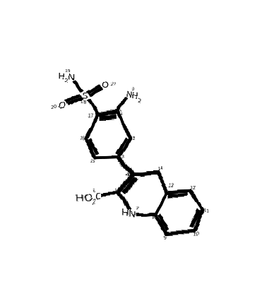 Nc1cc(C2=C(C(=O)O)Nc3ccccc3C2)ccc1S(N)(=O)=O